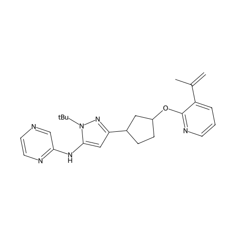 C=C(C)c1cccnc1OC1CCC(c2cc(Nc3cnccn3)n(C(C)(C)C)n2)C1